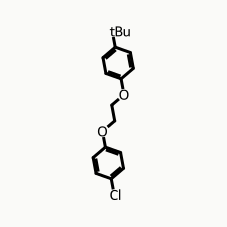 CC(C)(C)c1ccc(OCCOc2ccc(Cl)cc2)cc1